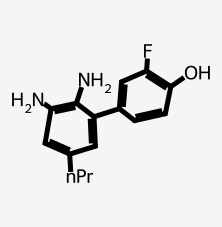 CCCc1cc(N)c(N)c(-c2ccc(O)c(F)c2)c1